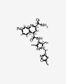 Cc1cc(Cn2nc(C)c(NC(=O)c3cc(C(N)=O)nc4cc(F)ccc34)c2C)no1